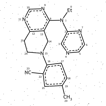 CCN(c1cnccn1)c1ncnc2c1CN(c1ccc(C)cc1C#N)CC2